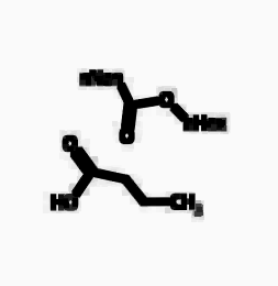 CCCC(=O)O.CCCCCCCCCC(=O)OCCCCCC